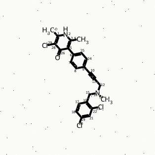 Cc1[nH]c(C)c(-c2ccc(C#CCN(C)Cc3ccc(Cl)cc3Cl)cc2)c(=O)c1Cl